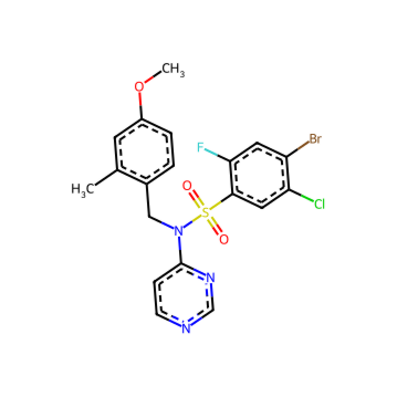 COc1ccc(CN(c2ccncn2)S(=O)(=O)c2cc(Cl)c(Br)cc2F)c(C)c1